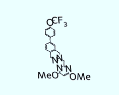 COc1cc(OC)nc(CN2Cc3cc(-c4ccc(OC(F)(F)F)cc4)ccc3C=N2)n1